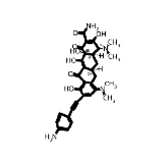 CN(C)c1cc(C#Cc2ccc(N)cc2)c(O)c2c1C[C@@H]1C[C@@H]3[C@@H](N(C)C)C(O)=C(C(N)=O)C(=O)[C@]3(O)C(O)=C1C2=O